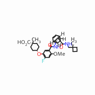 COc1cc(F)c(O[C@H]2CC[C@@](C)(C(=O)O)CC2)cc1C(=O)N[C@H]1[C@@H](C(=O)NCC2(C)CCC2)[C@H]2C=C[C@@H]1CC2